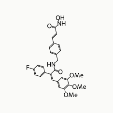 COc1cc(C=C(C(=O)NCc2ccc(/C=C/C(=O)NO)cc2)c2ccc(F)cc2)cc(OC)c1OC